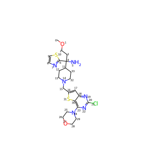 COCCC(N)(c1nccs1)C1CCN(Cc2cc3nc(Cl)nc(N4CCOCC4)c3s2)CC1